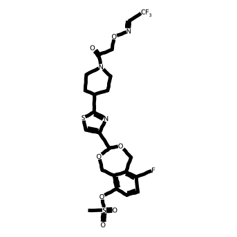 CS(=O)(=O)Oc1ccc(F)c2c1COC(c1csc(C3CCN(C(=O)CON=CC(F)(F)F)CC3)n1)OC2